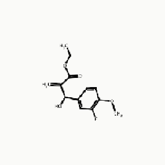 C=C(C(=O)OCC)C(O)c1ccc(OC)c(F)c1